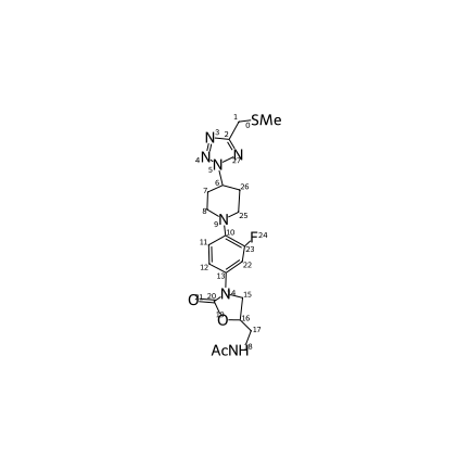 CSCc1nnn(C2CCN(c3ccc(N4CC(CNC(C)=O)OC4=O)cc3F)CC2)n1